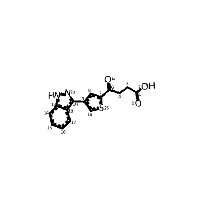 O=C(O)CCC(=O)c1cc(-c2n[nH]c3ccccc23)cs1